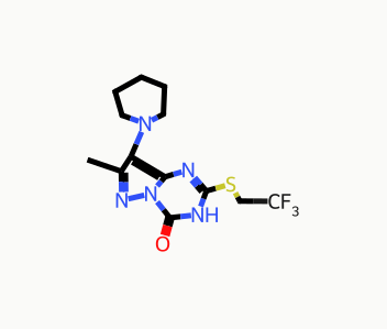 Cc1nn2c(=O)[nH]c(SCC(F)(F)F)nc2c1N1CCCCC1